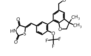 COCc1cc(-c2cc(/C=C3\SC(=O)NC3=O)ccc2OC(F)(F)F)c2c(c1)C(C)(C)CO2